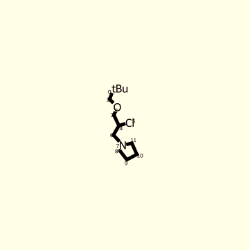 CC(C)(C)COCC(Cl)CN1CCCC1